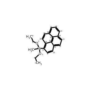 CCO[Si](C)(OCC)c1ccc2ccc3cccc4ccc1c2c34